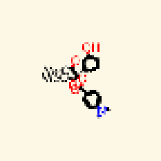 COC(=O)C(OC(=O)c1ccc(N(C)C)cc1)(C(=O)OC)[C@H]1CCC[C@H](O)C1